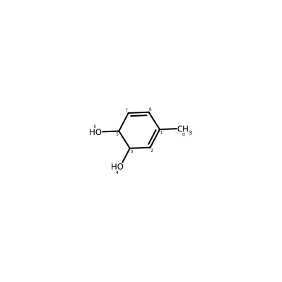 CC1=CC(O)C(O)C=C1